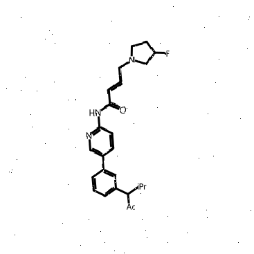 CC(=O)C(c1cccc(-c2ccc(NC(=O)/C=C/CN3CCC(F)C3)nc2)c1)C(C)C